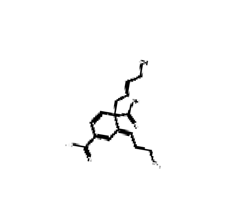 CCCC=C1C=C(C(=O)O)C=CC1(CC=CCO)C(=O)O